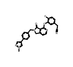 Cn1cc(-c2ccc(CN3Cc4ccnc(Oc5cc(CC#N)ccc5F)c4C3=O)cc2)cn1